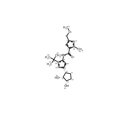 COCc1cc(C(=O)Nc2cc([C@@H]3CC[C@H](O)[C@@H]3O)nn2C(C)(C)C)n(C)n1